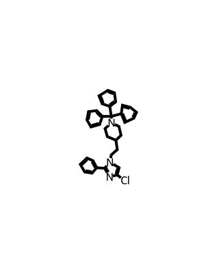 Clc1cn(CCC2CCN(C(c3ccccc3)(c3ccccc3)c3ccccc3)CC2)c(-c2ccccc2)n1